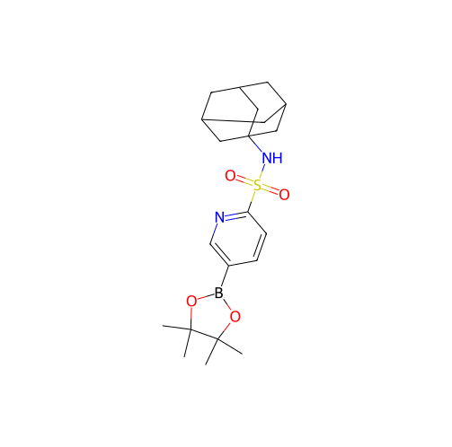 CC1(C)OB(c2ccc(S(=O)(=O)NC34CC5CC(CC(C5)C3)C4)nc2)OC1(C)C